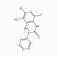 Cc1c(Cl)cc(F)c(NC(=O)Oc2ccccc2)c1[N+](=O)[O-]